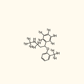 [2H]c1c([2H])c([2H])c(C(CC([2H])([2H])NC([2H])([2H])[2H])Oc2ccccc2C([2H])([2H])[2H])c([2H])c1[2H]